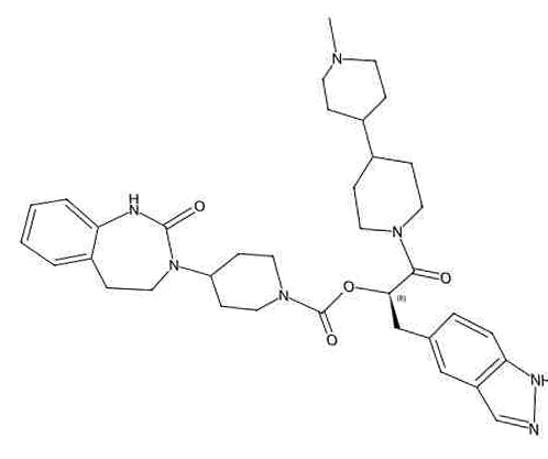 CN1CCC(C2CCN(C(=O)[C@@H](Cc3ccc4[nH]ncc4c3)OC(=O)N3CCC(N4CCc5ccccc5NC4=O)CC3)CC2)CC1